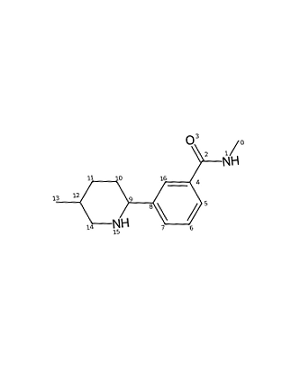 CNC(=O)c1cccc(C2CCC(C)CN2)c1